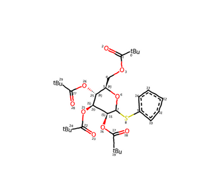 CC(C)(C)C(=O)OC[C@H]1OC(Sc2ccccc2)[C@@H](OC(=O)C(C)(C)C)[C@@H](OC(=O)C(C)(C)C)[C@@H]1OC(=O)C(C)(C)C